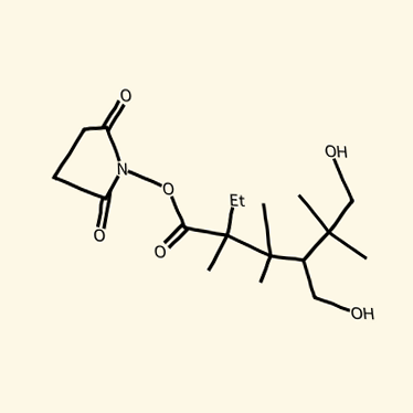 CCC(C)(C(=O)ON1C(=O)CCC1=O)C(C)(C)C(CO)C(C)(C)CO